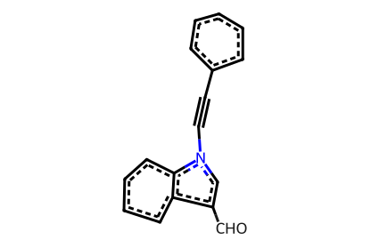 O=Cc1cn(C#Cc2ccccc2)c2ccccc12